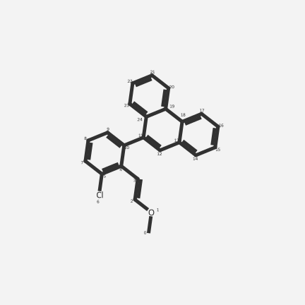 COC=Cc1c(Cl)cccc1-c1cc2ccccc2c2ccccc12